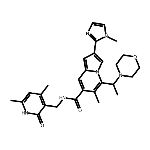 Cc1cc(C)c(CNC(=O)c2cc3cc(-c4nccn4C)cn3c(C(C)N3CCOCC3)c2C)c(=O)[nH]1